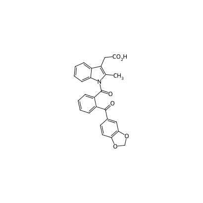 Cc1c(CC(=O)O)c2ccccc2n1C(=O)c1ccccc1C(=O)c1ccc2c(c1)OCO2